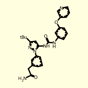 CC(C)(C)c1cc(NC(=O)Nc2cccc(Oc3cccnc3)c2)n(-c2cccc(CC(N)=O)c2)n1